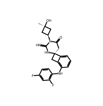 C[C@]1(O)C[C@@H](N2C(=N)N[C@]3(CC2=O)Cc2c(Nc4ccc(F)cc4F)cccc23)C1